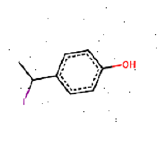 CC(I)c1ccc(O)cc1